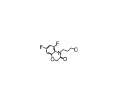 O=C1COc2cc(F)cc(F)c2N1CCCCl